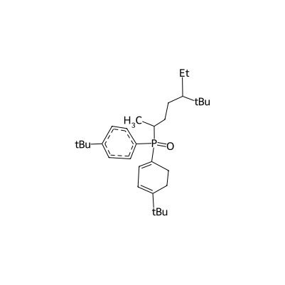 CCC(CCC(C)P(=O)(C1=CC=C(C(C)(C)C)CC1)c1ccc(C(C)(C)C)cc1)C(C)(C)C